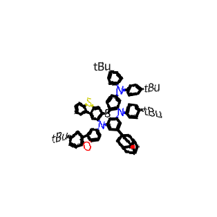 CC(C)(C)c1ccc(N(c2ccc(C(C)(C)C)cc2)c2ccc3c(c2)N(c2ccc(C(C)(C)C)cc2)c2cc(C45CC6CC(CC(C6)C4)C5)cc4c2B3c2cc3sc5ccccc5c3cc2N4c2ccc3oc4ccc(C(C)(C)C)cc4c3c2)cc1